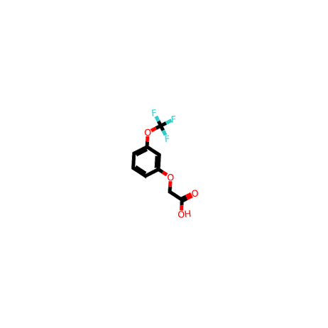 O=C(O)COc1[c]ccc(OC(F)(F)F)c1